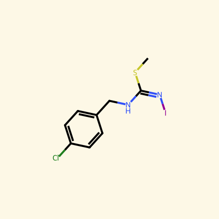 CS/C(=N/I)NCc1ccc(Cl)cc1